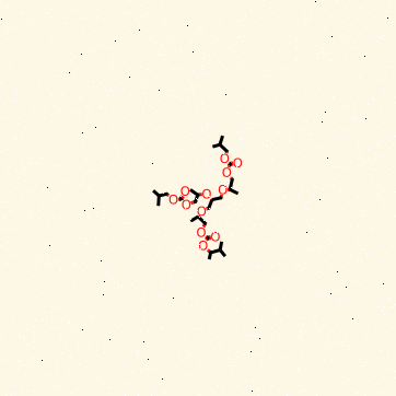 CC(C)COC(=O)OCC(C)OCC(COC(C)COC(=O)OC(C)C(C)C)OC(C)COC(=O)OCC(C)C